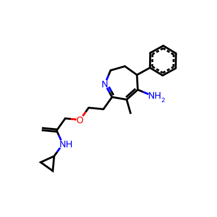 C=C(COCCC1=NCCC(c2ccccc2)C(N)=C1C)NC1CC1